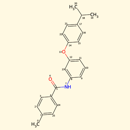 Cc1ccc(C(=O)Nc2cccc(Oc3ccc(C(C)C)cc3)c2)cc1